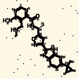 CNCc1c(N)ncnc1C(=O)N[C@H](C)c1cc(-c2nc3ccc(C4(C)CC4)nc3[nH]2)no1